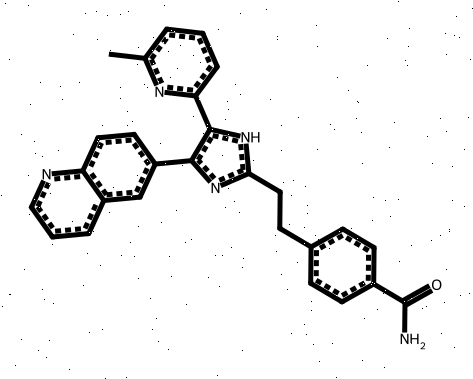 Cc1cccc(-c2[nH]c(CCc3ccc(C(N)=O)cc3)nc2-c2ccc3ncccc3c2)n1